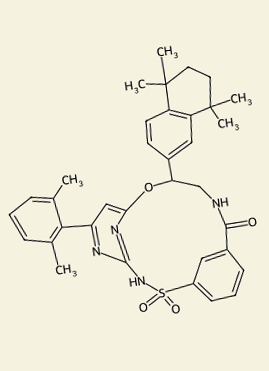 Cc1cccc(C)c1-c1cc2nc(n1)NS(=O)(=O)c1cccc(c1)C(=O)NCC(c1ccc3c(c1)C(C)(C)CCC3(C)C)O2